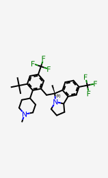 CN1CCC(c2c(C[C@]3(C)c4ccc(C(F)(F)F)cc4C4CCCN43)cc(C(F)(F)F)cc2C(C)(C)C)CC1